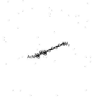 CC(=O)NCC(=O)NCC(=O)NCC(=O)NCCOCCOCCOCCOCCNN